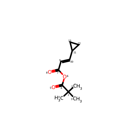 CC(C)(C)C(=O)OC(=O)/C=C/C1CC1